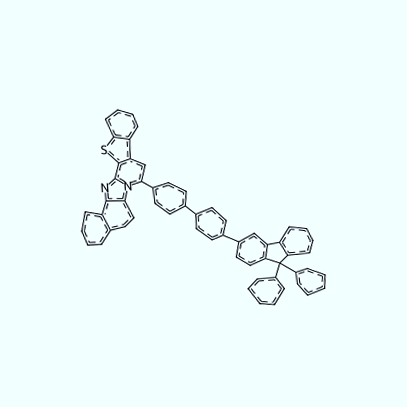 c1ccc(C2(c3ccccc3)c3ccccc3-c3cc(-c4ccc(-c5ccc(-c6cc7c8ccccc8sc7c7nc8c9ccccc9ccc8n67)cc5)cc4)ccc32)cc1